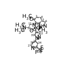 COc1ccc2cnn(C)c2c1N(CCN(C)C)S(=O)(=O)c1cnn(-c2ccnc(C(F)(F)F)c2)c1